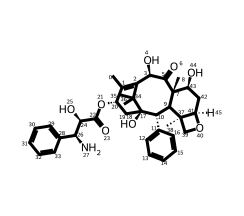 CC1=C2[C@@H](O)C(=O)[C@@]3(C)C([C@H](c4ccccc4)[C@](O)(C[C@@H]1OC(=O)[C@H](O)[C@@H](N)c1ccccc1)C2(C)C)[C@]1(C)CO[C@@H]1C[C@@H]3O